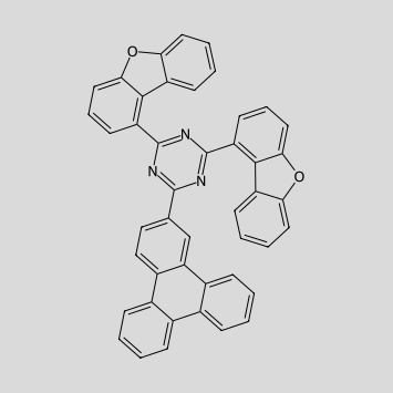 c1ccc2c(c1)oc1cccc(-c3nc(-c4ccc5c6ccccc6c6ccccc6c5c4)nc(-c4cccc5oc6ccccc6c45)n3)c12